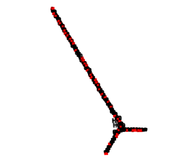 CCCCCCCCCCCCCCCCCC(=O)OC[C@H](COP(=O)(O)OCCNC(=O)OCCOCCOCCOCCOCCOCCOCCOCCOCCOCCOCCCCCOCCOCCOCCOCCOCCOCCOCCOCCOCCOCCOCCOCCOCCOCCOCCOCCOCCOCCC)OC(=O)CCCCCCCCCCCCCCCCC